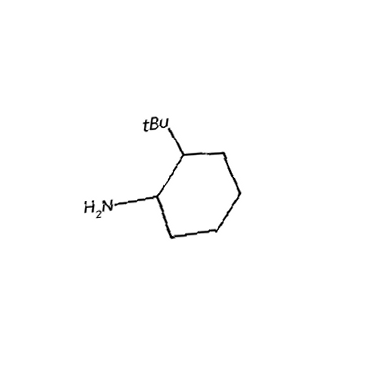 CC(C)(C)C1CCCCC1N